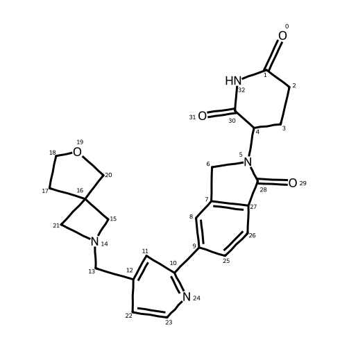 O=C1CCC(N2Cc3cc(-c4cc(CN5CC6(CCOC6)C5)ccn4)ccc3C2=O)C(=O)N1